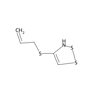 C=CCSC1=CSSN1